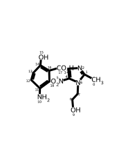 Cc1ncc([N+](=O)[O-])n1CCO.Nc1ccc(O)c(C(=O)O)c1